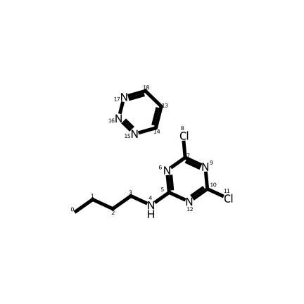 CCCCNc1nc(Cl)nc(Cl)n1.c1cnnnc1